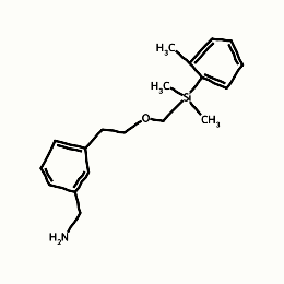 Cc1ccccc1[Si](C)(C)COCCc1cccc(CN)c1